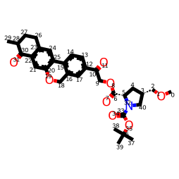 COC[C@H]1C[C@@H](C(=O)OCC(=O)c2ccc3c(c2)COc2cc4c(cc2-3)CCC(C)C4=O)N(C(=O)OC(C)(C)C)C1